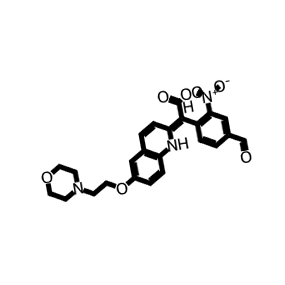 O=Cc1ccc(C(C(=O)O)=C2C=Cc3cc(OCCN4CCOCC4)ccc3N2)c([N+](=O)[O-])c1